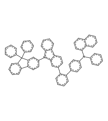 c1ccc(N(c2ccc(-c3ccccc3-c3ccc4c5ccccc5n(-c5ccc6c(c5)C(c5ccccc5)(c5ccccc5)c5ccccc5-6)c4c3)cc2)c2cccc3ccccc23)cc1